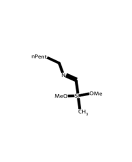 CCCCCCN=C[Si](C)(OC)OC